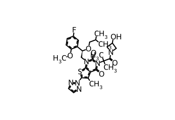 COc1ccc(F)cc1[C@H](Cn1c(=O)n(C(C)(C)C(=O)N2CC(O)C2)c(=O)c2c(C)c(-n3nccn3)sc21)OCC(C)C